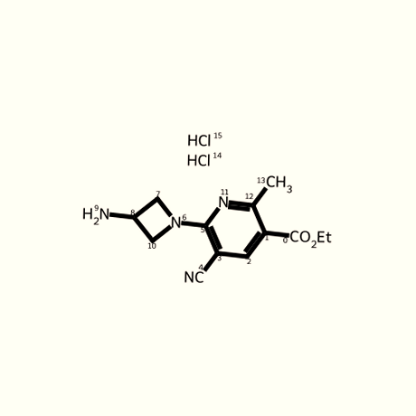 CCOC(=O)c1cc(C#N)c(N2CC(N)C2)nc1C.Cl.Cl